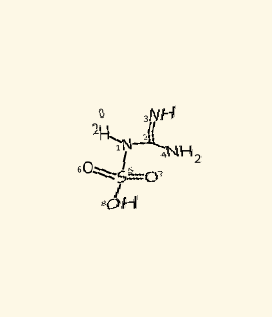 [2H]N(C(=N)N)S(=O)(=O)O